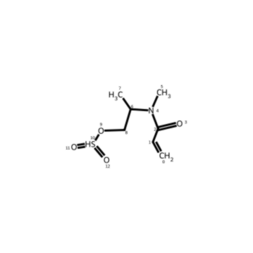 C=CC(=O)N(C)C(C)CO[SH](=O)=O